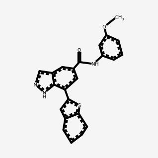 COc1cccc(NC(=O)c2cc(-c3cc4ccccc4s3)c3[nH]ncc3c2)c1